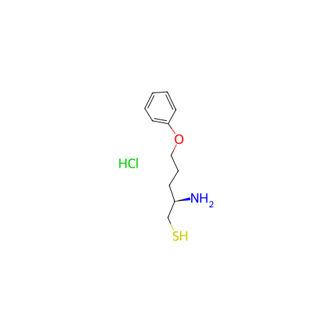 Cl.N[C@@H](CS)CCCOc1ccccc1